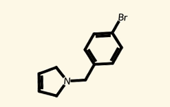 Brc1ccc(CN2CC=CC2)cc1